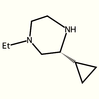 CCN1CCN[C@H](C2CC2)C1